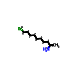 CC(N)CCCCCCCCBr